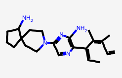 C=C/C(C)=C(C)\C(=C/C)c1ncc(N2CCC3(CCCC3N)CC2)nc1N